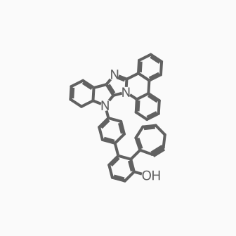 Oc1cccc(-c2ccc(N3c4c(nc5c6ccccc6c6ccccc6n45)C4=CC=CCC43)cc2)c1C1=CC=CCC#C1